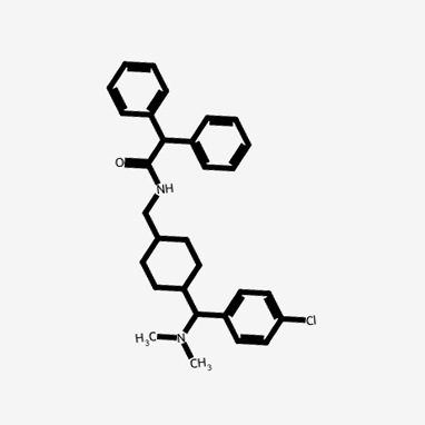 CN(C)C(c1ccc(Cl)cc1)C1CCC(CNC(=O)C(c2ccccc2)c2ccccc2)CC1